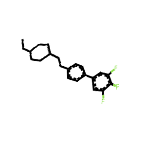 CCC1CCC(CCc2ccc(-c3cc(F)c(F)c(F)c3)cc2)CC1